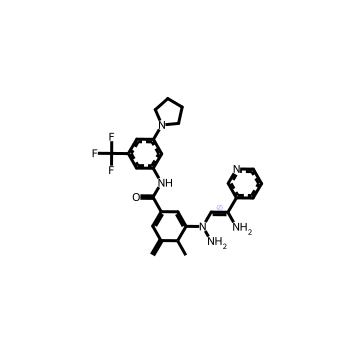 C=C1C=C(C(=O)Nc2cc(N3CCCC3)cc(C(F)(F)F)c2)C=C(N(N)/C=C(\N)c2cccnc2)C1C